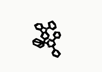 c1ccc(-c2cc(-c3ccccc3)nc(C3(c4ccc5c(c4)c4ccccc4n5-c4ccccc4)C4CC5CC(C4)CC3C5)n2)cc1